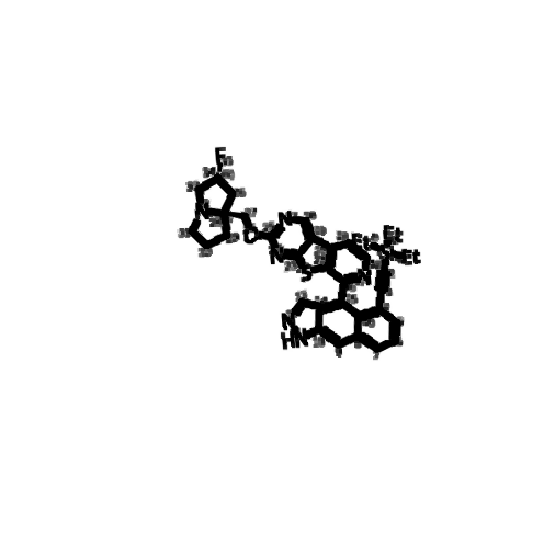 CC[Si](C#Cc1cccc2cc3[nH]ncc3c(-c3nccc4c3sc3nc(OC[C@@]56CCCN5C[C@H](F)C6)ncc34)c12)(CC)CC